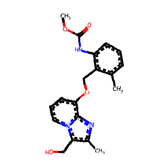 COC(=O)Nc1cccc(C)c1COc1cccn2c(CO)c(C)nc12